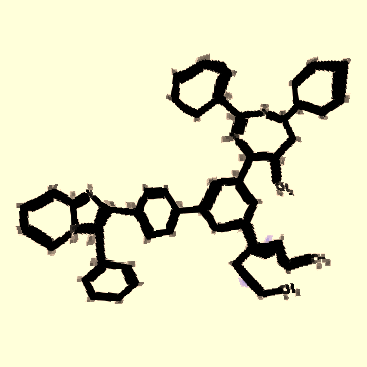 C=C/C=C(\C=C/C)c1cc(-c2ccc(-c3nc4ccccn4c3-c3ccccc3)cc2)cc(C2N=C(C3=CC=CCC3)N=C(c3ccccc3)CC2=C)c1